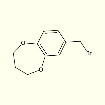 BrCc1ccc2c(c1)OCCCO2